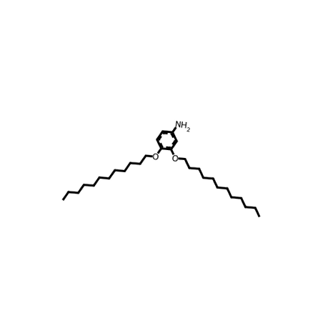 CCCCCCCCCCCCOc1ccc(N)cc1OCCCCCCCCCCCC